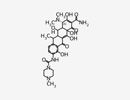 CC1c2ccc(NC(=O)N3CCN(C)CC3)c(O)c2C(=O)C2=C(O)C3(O)C(=O)C(C(N)=O)=C(O)[C@@H](N(C)C)C3C(O)C21